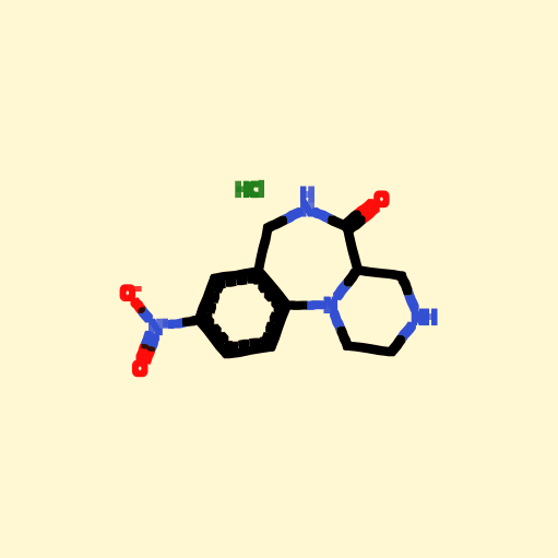 Cl.O=C1NCc2cc([N+](=O)[O-])ccc2N2CCNCC12